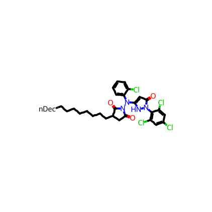 CCCCCCCCCCCCCCCCCCC1CC(=O)N(N(c2cc(=O)n(-c3c(Cl)cc(Cl)cc3Cl)[nH]2)c2ccccc2Cl)C1=O